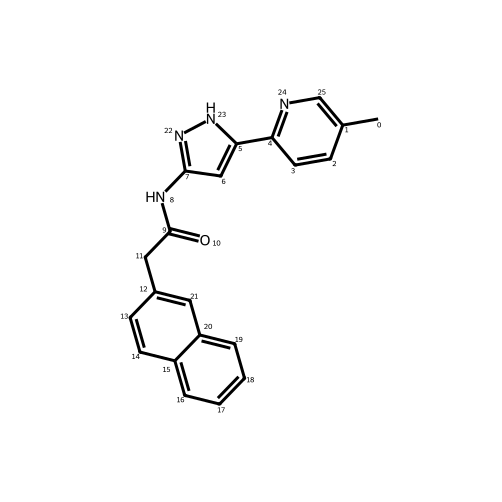 Cc1ccc(-c2cc(NC(=O)Cc3ccc4ccccc4c3)n[nH]2)nc1